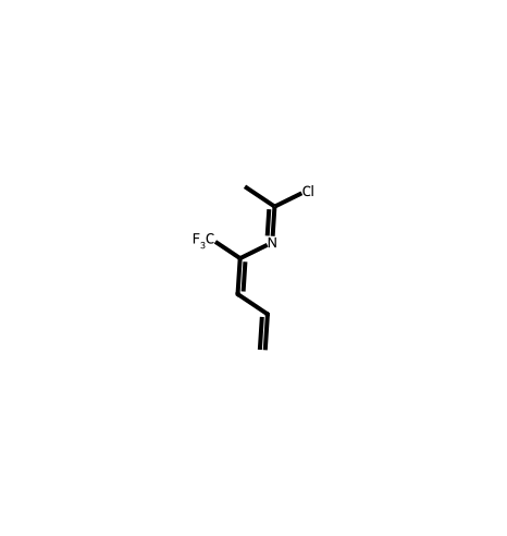 C=C/C=C(\N=C(/C)Cl)C(F)(F)F